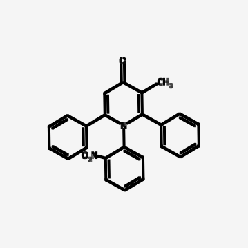 Cc1c(-c2ccccc2)n(-c2ccccc2[N+](=O)[O-])c(-c2ccccc2)cc1=O